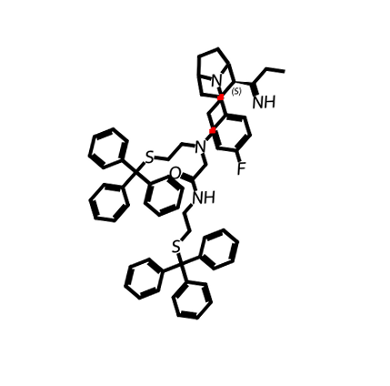 CCC(=N)[C@H]1C(c2ccc(F)cc2)CC2CCC1N2CCCN(CCSC(c1ccccc1)(c1ccccc1)c1ccccc1)CC(=O)NCCSC(c1ccccc1)(c1ccccc1)c1ccccc1